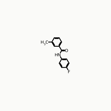 Cc1cccc(C(=O)Nc2ccc(F)cc2)c1